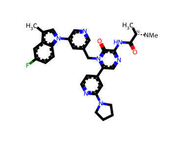 CN[C@@H](C)C(=O)Nc1ncc(-c2ccnc(N3CCCC3)c2)n(Cc2cncc(-n3cc(C)c4cc(F)ccc43)c2)c1=O